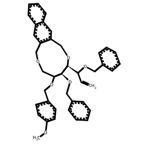 C=CC(OCc1ccccc1)[C@@H]1OCc2cc3ccccc3cc2COCC(OCc2ccc(OC)cc2)[C@@H]1OCc1ccccc1